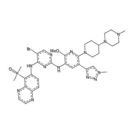 COc1nc(N2CCC(N3CCN(C)CC3)CC2)c(-c2cn(C)nn2)cc1Nc1ncc(Br)c(Nc2ccc3nccnc3c2P(C)(C)=O)n1